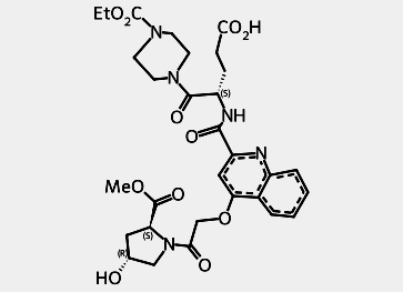 CCOC(=O)N1CCN(C(=O)[C@H](CCC(=O)O)NC(=O)c2cc(OCC(=O)N3C[C@H](O)C[C@H]3C(=O)OC)c3ccccc3n2)CC1